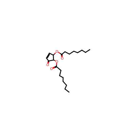 CCCCCCCC(=O)OC1C=CC(=O)C1OC(=O)CCCCCCC